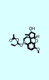 CC[C@@H](OC(C)=O)ON1CC[C@]23c4c1ccc(OC)c4O[C@H]2C[C@@H](O)C3C